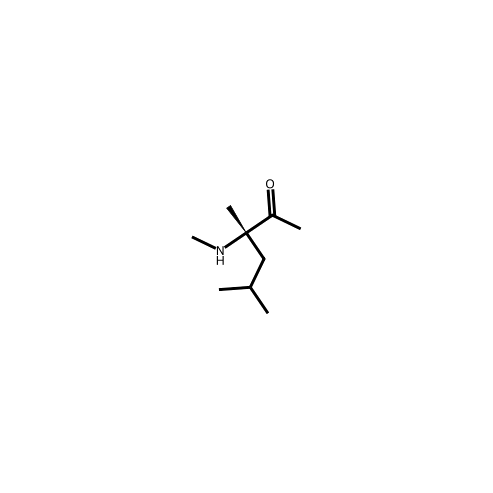 CN[C@@](C)(CC(C)C)C(C)=O